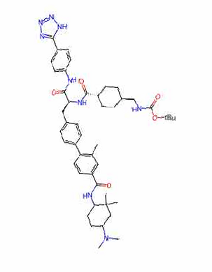 Cc1cc(C(=O)NC2CCC(N(C)C)CC2(C)C)ccc1-c1ccc(C[C@H](NC(=O)[C@H]2CC[C@H](CNC(=O)OC(C)(C)C)CC2)C(=O)Nc2ccc(-c3nnn[nH]3)cc2)cc1